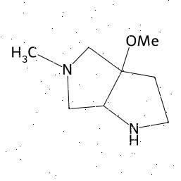 COC12CCNC1CN(C)C2